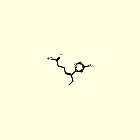 CC/C(=C/CCC(=O)O)c1cc(Br)cs1